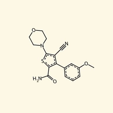 COc1cccc(-c2c(C(N)=O)sc(N3CCOCC3)c2C#N)c1